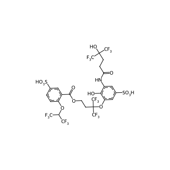 O=C(CCC(O)(C(F)(F)F)C(F)(F)F)Nc1cc(S(=O)(=O)O)cc(OC(CCOC(=O)c2cc(S(=O)(=O)O)ccc2OC(C(F)(F)F)C(F)(F)F)(C(F)(F)F)C(F)(F)F)c1O